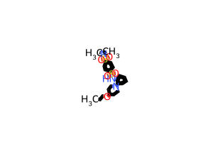 CCCOC1CCN(c2ccccc2NS(=O)(=O)c2ccc(S(=O)(=O)N(C)C)cc2)CC1